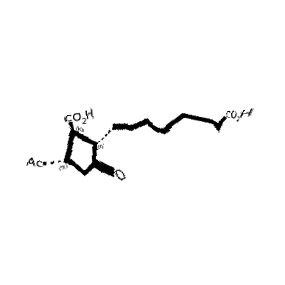 CC(=O)[C@H]1CC(=O)[C@@H](CCCCCCC(=O)O)[C@@H]1C(=O)O